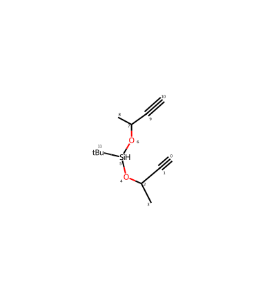 C#CC(C)O[SiH](OC(C)C#C)C(C)(C)C